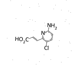 Nc1ccc(Cl)c(/C=C/C(=O)O)n1